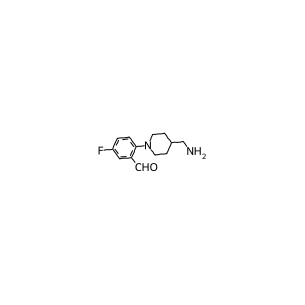 NCC1CCN(c2ccc(F)cc2C=O)CC1